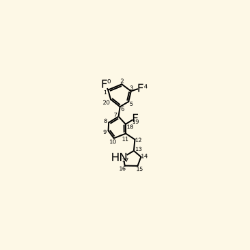 Fc1cc(F)cc(-c2cccc(CC3CCCN3)c2F)c1